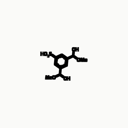 COC(O)c1cc(C(O)OC)cc(S(=O)(=O)O)c1